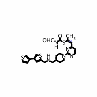 C/C(=C/c1ccnc(N2CCC(CNCc3cc(-c4ccsc4)cs3)CC2)n1)SC(=O)NC=O